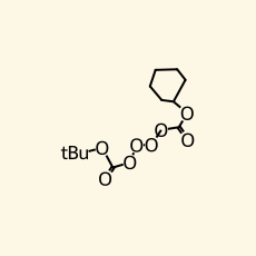 CC(C)(C)OC(=O)OOOOC(=O)OC1CCCCC1